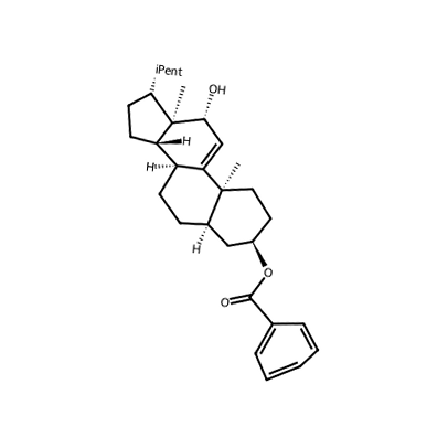 CCC[C@@H](C)C1CC[C@H]2[C@@H]3CC[C@@H]4C[C@H](OC(=O)c5ccccc5)CC[C@]4(C)C3=C[C@@H](O)[C@]12C